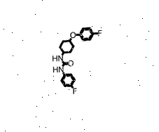 O=C(Nc1ccc(F)cc1)NC1CCC(Oc2ccc(F)cc2)CC1